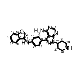 Nc1ncnc2c1c(-c1ccc(Nc3noc4ccccc34)cc1)nn2C1CCNCC1